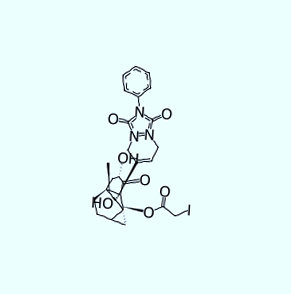 C[C@H]1[C@H](C2=CCn3c(=O)n(-c4ccccc4)c(=O)n3C2)C[C@@H](OC(=O)CI)[C@]23CC2CC[C@]12C[C@H](O)C(=O)[C@]23O